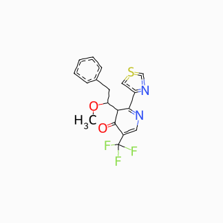 COC(Cc1ccccc1)C1C(=O)C(C(F)(F)F)=CN=C1c1cscn1